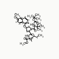 CCCC1CC1(NC(=O)C1CC(Oc2nccc3cc(OC)ccc23)CN1C(=O)C(NC(=O)OC(C)(C)C)C(C)(C)C)C(=O)OC